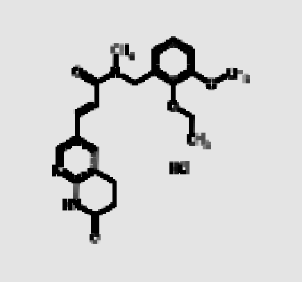 CCOc1c(CN(C)C(=O)C=Cc2cnc3c(c2)CCC(=O)N3)cccc1OC.Cl